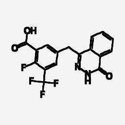 O=C(O)c1cc(Cc2n[nH]c(=O)c3ccccc23)cc(C(F)(F)F)c1F